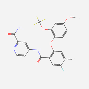 NC(=O)c1cc(NC(=O)c2cc(F)c(C(F)(F)F)cc2Oc2ccc(OC(F)(F)F)cc2OC(S)(S)S)ccn1